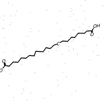 O=C(O)CCCCCCCCCCCCCCCCCCCCC(=O)O